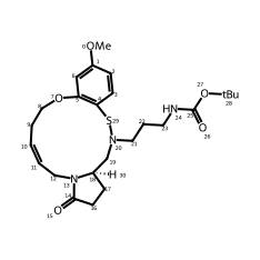 COc1ccc2c(c1)OCC/C=C\CN1C(=O)CC[C@@H]1CN(CCCNC(=O)OC(C)(C)C)S2